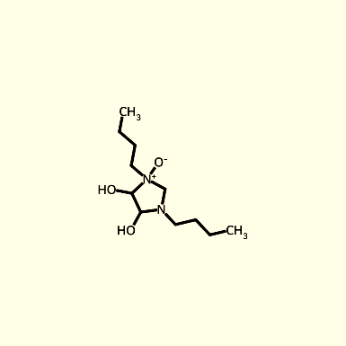 CCCCN1C[N+]([O-])(CCCC)C(O)C1O